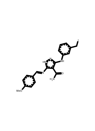 COc1ccc(/C=N/c2[nH]nc(Nc3cccc(CI)c3)c2C(N)=O)cc1